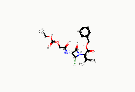 CC(C)=C(C(=O)OCc1ccccc1)N1C(=O)[C@@H](NC(=O)COC(=O)OCC(Cl)(Cl)Cl)[C@@H]1Cl